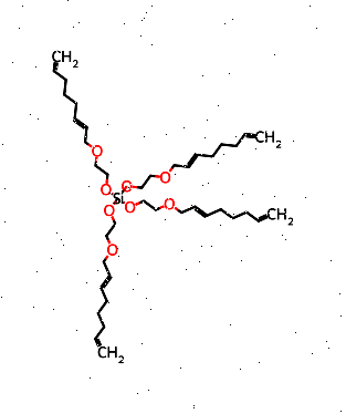 C=CCCCC=CCOCCO[Si](OCCOCC=CCCCC=C)(OCCOCC=CCCCC=C)OCCOCC=CCCCC=C